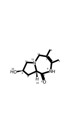 CC1=C(C)NC(=O)[C@@H]2C[C@@H](O)CN2C1